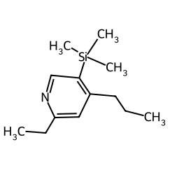 CCCc1cc(CC)ncc1[Si](C)(C)C